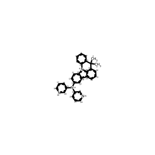 CC1(C)c2ccccc2-n2c3ccc(N(c4cccnc4)c4cccnc4)cc3c3cccc1c32